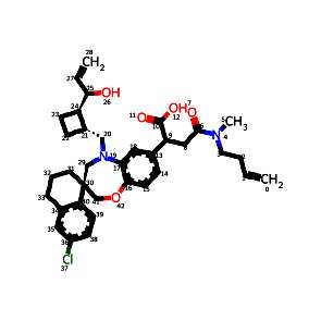 C=CCCN(C)C(=O)CC(C(=O)O)c1ccc2c(c1)N(C[C@@H]1CC[C@H]1C(O)C=C)C[C@@]1(CCCc3cc(Cl)ccc31)CO2